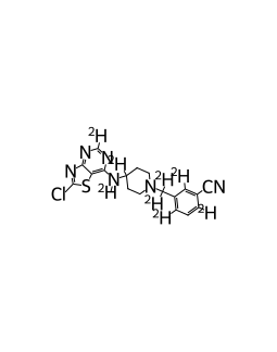 [2H]c1nc(N([2H])C2([2H])CCN(C([2H])([2H])c3c([2H])cc([2H])c(C#N)c3[2H])CC2)c2sc(Cl)nc2n1